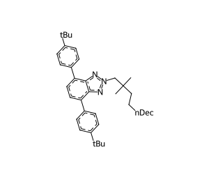 CCCCCCCCCCCCC(C)(C)Cn1nc2c(-c3ccc(C(C)(C)C)cc3)ccc(-c3ccc(C(C)(C)C)cc3)c2n1